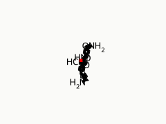 CC(C)(N)C(=O)N1CCN(C(=O)Nc2ccn(-c3ccc(CN4CCC5(CC5N)C4)cc3)c(=O)n2)CC1.Cl